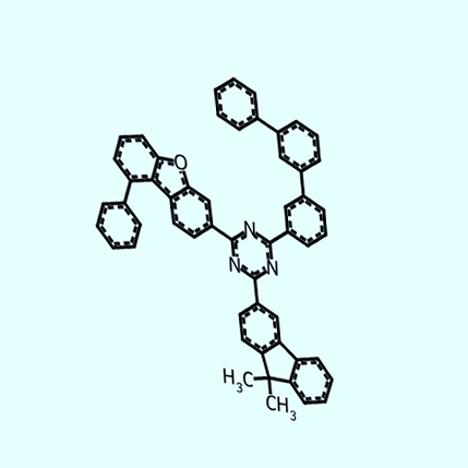 CC1(C)c2ccccc2-c2cc(-c3nc(-c4cccc(-c5cccc(-c6ccccc6)c5)c4)nc(-c4ccc5c(c4)oc4cccc(-c6ccccc6)c45)n3)ccc21